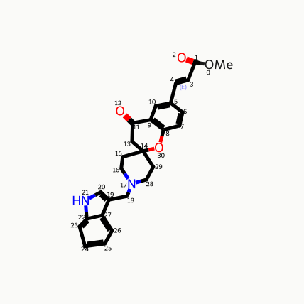 COC(=O)/C=C/c1ccc2c(c1)C(=O)CC1(CCN(Cc3c[nH]c4ccccc34)CC1)O2